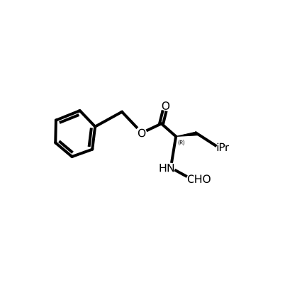 CC(C)C[C@@H](NC=O)C(=O)OCc1ccccc1